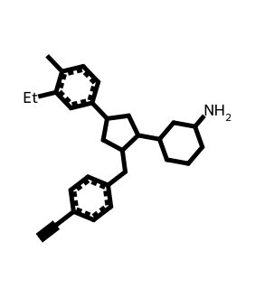 C#Cc1ccc(CC2CC(c3ccc(C)c(CC)c3)CC2C2CCCC(N)C2)cc1